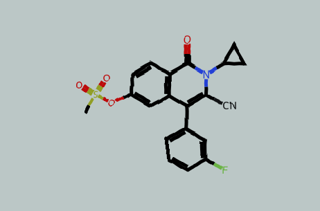 CS(=O)(=O)Oc1ccc2c(=O)n(C3CC3)c(C#N)c(-c3cccc(F)c3)c2c1